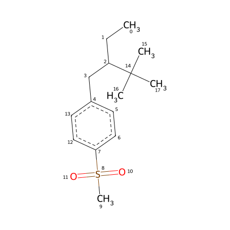 CCC(Cc1ccc(S(C)(=O)=O)cc1)C(C)(C)C